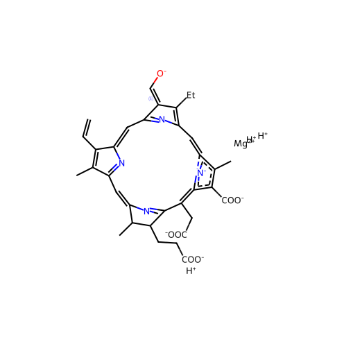 C=CC1=C(C)C2=NC1=CC1=NC(=C(CC)/C1=C\[O-])C=c1[n-]c(c(C(=O)[O-])c1C)=C(CC(=O)[O-])C1=NC(=C2)C(C)C1CCC(=O)[O-].[H+].[H+].[H+].[Mg+2]